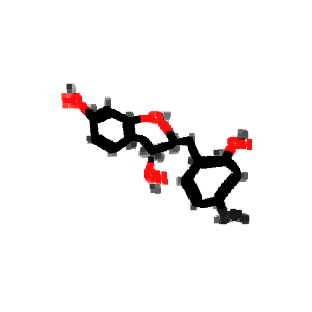 COc1ccc(C[C@@H]2Oc3cc(O)ccc3[C@H]2O)c(O)c1